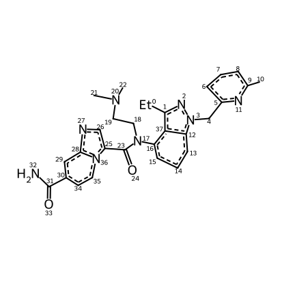 CCc1nn(Cc2cccc(C)n2)c2cccc(N(CCN(C)C)C(=O)c3cnc4cc(C(N)=O)ccn34)c12